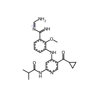 COc1c(Nc2cc(NC(=O)C(C)C)ncc2C(=O)C2CC2)cccc1C(=N)/N=C\N